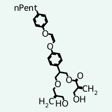 C=C(CO)COCC(COC(=O)C(=C)CO)c1ccc(O/C=C\Oc2ccc(CCCCC)cc2)cc1